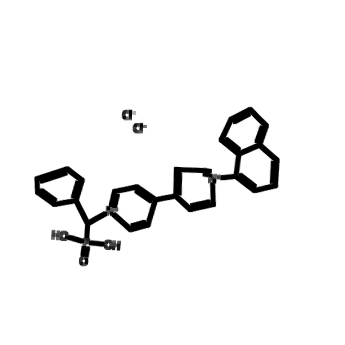 O=P(O)(O)C(c1ccccc1)[n+]1ccc(-c2cc[n+](-c3cccc4ccccc34)cc2)cc1.[Cl-].[Cl-]